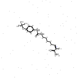 NC(=O)/C(F)=C\CCCCCNC(=O)Nc1ccc(OC(F)(F)F)cc1